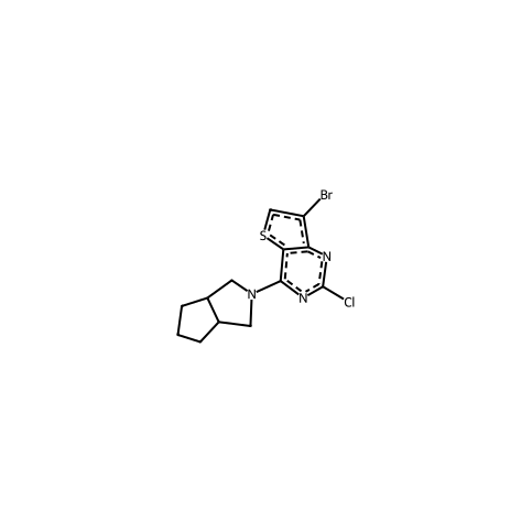 Clc1nc(N2CC3CCCC3C2)c2scc(Br)c2n1